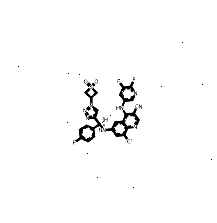 [2H][C@](Nc1cc(Cl)c2ncc(C#N)c(Nc3cnc(F)c(F)c3)c2c1)(c1ccc(F)cc1)c1cn(C2CS(=O)(=O)C2)nn1